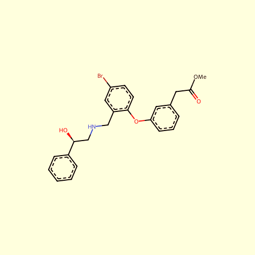 COC(=O)Cc1cccc(Oc2ccc(Br)cc2CNC[C@H](O)c2ccccc2)c1